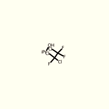 CC(C)O.FC(F)(Cl)C(F)(Cl)Cl